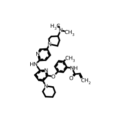 C=CC(=O)Nc1cc(Oc2nc(Nc3ccc(N4CCC(N(C)C)CC4)cn3)ccc2N2CCCCC2)ccc1C